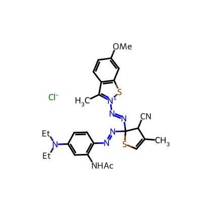 CCN(CC)c1ccc(N=NC2(N=N[n+]3sc4cc(OC)ccc4c3C)SC=C(C)C2C#N)c(NC(C)=O)c1.[Cl-]